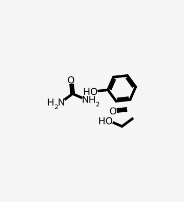 C=O.CCO.NC(N)=O.Oc1ccccc1